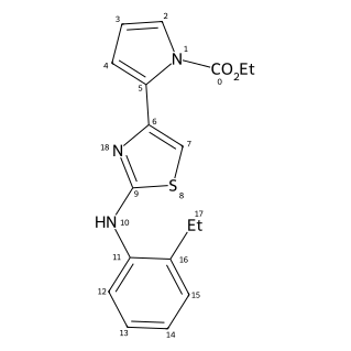 CCOC(=O)n1cccc1-c1csc(Nc2ccccc2CC)n1